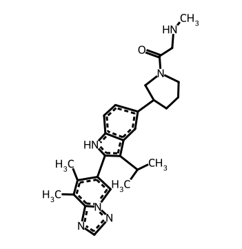 CNCC(=O)N1CCCC(c2ccc3[nH]c(-c4cn5ncnc5c(C)c4C)c(C(C)C)c3c2)C1